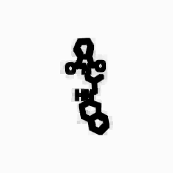 CC(CNC1CCc2ccccc2C1)CN1C(=O)c2ccccc2C1=O